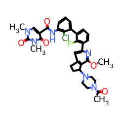 COc1nc(-c2cccc(-c3cccc(NC(=O)c4cn(C)c(=O)n(C)c4=O)c3Cl)c2F)cc2c1C(N1CCN(C(C)=O)CC1)CC2